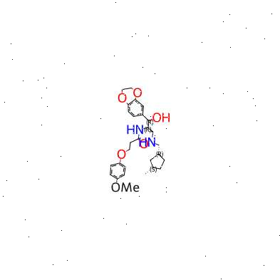 COc1ccc(OCCC(=O)N[C@H](CNC[C@@H]2CC[C@H](C)C2)[C@H](O)c2ccc3c(c2)OCCO3)cc1